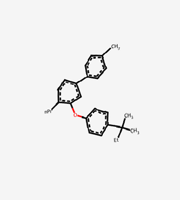 CCCc1ccc(-c2ccc(C)cc2)cc1Oc1ccc(C(C)(C)CC)cc1